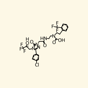 O=C(Cn1nc(-c2ccc(Cl)cc2)n(C[C@H](O)C(F)(F)F)c1=O)NCCN(CCc1ccccc1C(F)(F)F)C(=O)O